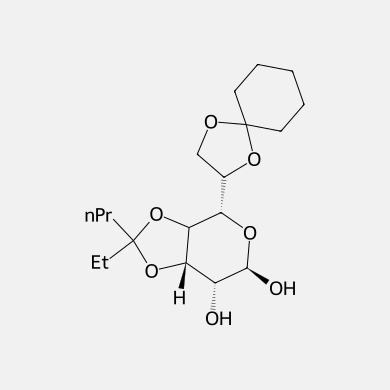 CCCC1(CC)OC2[C@H](C3COC4(CCCCC4)O3)O[C@@H](O)[C@H](O)[C@@H]2O1